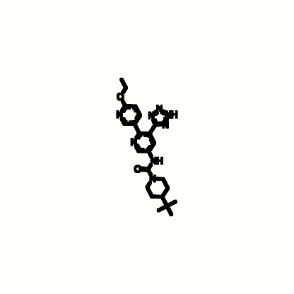 CCOc1ccc(-c2ncc(NC(=O)N3CCC(C(C)(C)C)CC3)cc2-c2nn[nH]n2)cn1